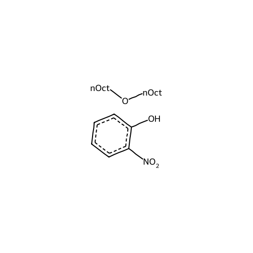 CCCCCCCCOCCCCCCCC.O=[N+]([O-])c1ccccc1O